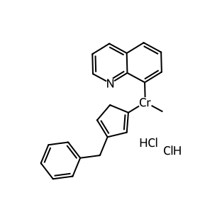 Cl.Cl.[CH3][Cr]([C]1=CC(Cc2ccccc2)=CC1)[c]1cccc2cccnc12